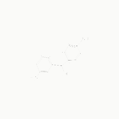 Nc1ccc(C(O)c2cccc(N)c2)cc1